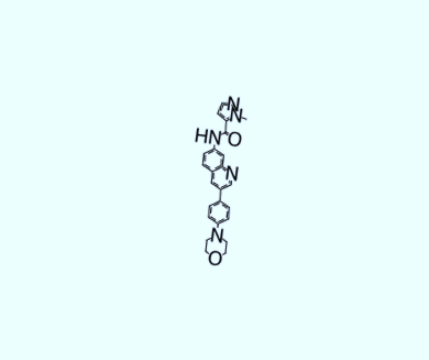 Cn1nccc1C(=O)Nc1ccc2cc(-c3ccc(N4CCOCC4)cc3)cnc2c1